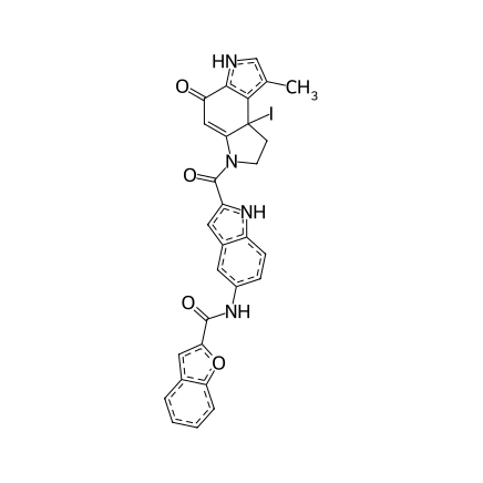 Cc1c[nH]c2c1C1(I)CCN(C(=O)c3cc4cc(NC(=O)c5cc6ccccc6o5)ccc4[nH]3)C1=CC2=O